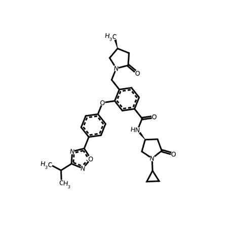 CC(C)c1noc(-c2ccc(Oc3cc(C(=O)N[C@H]4CC(=O)N(C5CC5)C4)ccc3CN3C[C@@H](C)CC3=O)cc2)n1